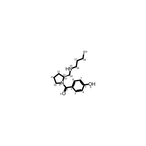 O=C(c1ccc(O)cc1)N1CCC[C@H]1CNCCCI